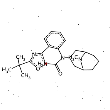 CN1C2CCCC1CC(N(C(N)=O)c1ccccc1-c1noc(C(C)(C)C)n1)C2